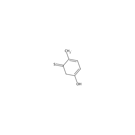 [CH2]C1=CC=C(O)CC1=S